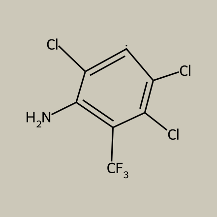 Nc1c(Cl)[c]c(Cl)c(Cl)c1C(F)(F)F